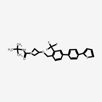 CC(C)(C)NC(=O)N1CC(OCc2ccc(-c3ccc(-c4cccs4)cc3)cc2C(F)(F)F)C1